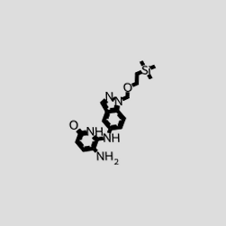 C[Si](C)(C)CCOCn1ncc2cc(Nc3[nH]c(=O)ccc3N)ccc21